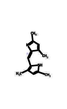 CC1=CC(C)=N/C1=C/c1[nH]c(C)cc1C